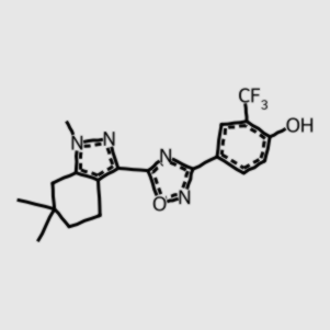 Cn1nc(-c2nc(-c3ccc(O)c(C(F)(F)F)c3)no2)c2c1CC(C)(C)CC2